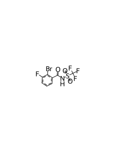 O=C(NS(=O)(=O)C(F)(F)F)c1cccc(F)c1Br